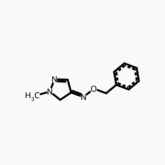 CN1CC(=NOCc2ccccc2)C=N1